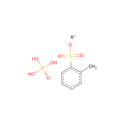 Cc1ccccc1S(=O)(=O)[O-].O=P(O)(O)O.[K+]